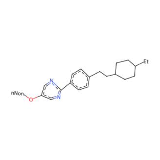 CCCCCCCCCOc1cnc(-c2ccc(CCC3CCC(CC)CC3)cc2)nc1